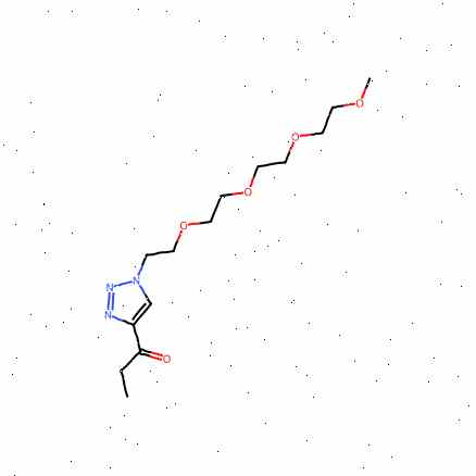 CCC(=O)c1cn(CCOCCOCCOCCOC)nn1